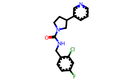 O=C(NCc1ccc(F)cc1Cl)N1CCC(c2cccnc2)C1